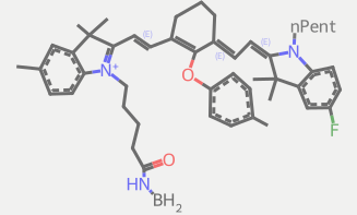 BNC(=O)CCCC[N+]1=C(/C=C/C2=C(Oc3ccc(C)cc3)C(=C/C=C3/N(CCCCC)c4ccc(F)cc4C3(C)C)/CCC2)C(C)(C)c2cc(C)ccc21